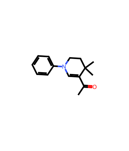 CC(=O)C1=CN(c2ccccc2)CCC1(C)C